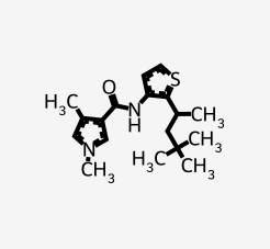 Cc1cn(C)cc1C(=O)Nc1ccsc1C(C)CC(C)(C)C